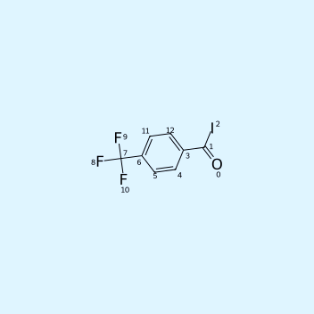 O=C(I)c1ccc(C(F)(F)F)cc1